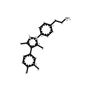 Cc1ccc(-c2c(C)nn(-c3ccc(CCN)cc3)c2C)cc1C